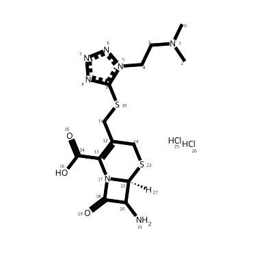 CN(C)CCn1nnnc1SCC1=C(C(=O)O)N2C(=O)C(N)[C@@H]2SC1.Cl.Cl